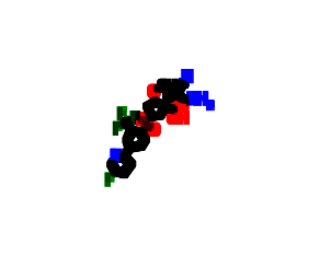 CO[C@H]1C[C@@H](S(=O)(=O)c2ccc(-c3ccc(F)cn3)cc2C(F)(F)F)C[C@]1(C(=O)O)C1CC1(C#N)C(N)=O